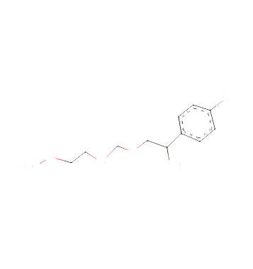 COCCOCOCC(S)c1ccc(Br)cc1